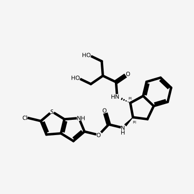 O=C(N[C@@H]1Cc2ccccc2[C@H]1NC(=O)C(CO)CO)Oc1cc2cc(Cl)sc2[nH]1